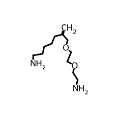 C=C(CCCCCN)COCCOCCN